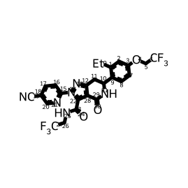 CCc1cc(OCC(F)(F)F)ccc1C1Cc2nn(-c3ccc(C#N)cn3)c(C(=O)NCC(F)(F)F)c2C(=O)N1